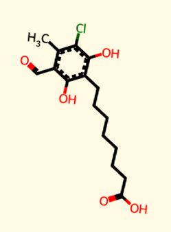 Cc1c(Cl)c(O)c(CCCCCCCC(=O)O)c(O)c1C=O